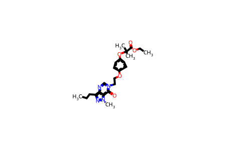 CCCc1nn(C)c2c(=O)n(CCOc3ccc(OC(C)(C)C(=O)OCC)cc3)cnc12